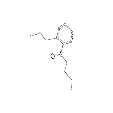 [CH2]CCc1ccccc1[S+]([O-])CCCC